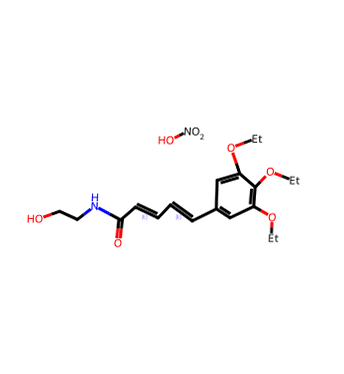 CCOc1cc(/C=C/C=C/C(=O)NCCO)cc(OCC)c1OCC.O=[N+]([O-])O